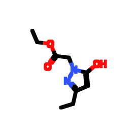 CCOC(=O)Cn1nc(CC)cc1O